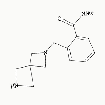 CNC(=O)c1ccccc1CN1CC2(CNC2)C1